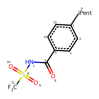 CCCC(C)c1ccc(C(=O)NS(=O)(=O)C(F)(F)F)cc1